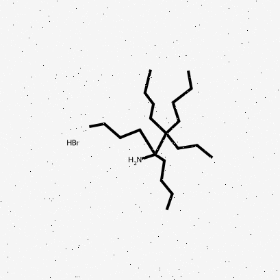 Br.CCCCC(N)(CCCC)C(CCC)(CCCC)CCCC